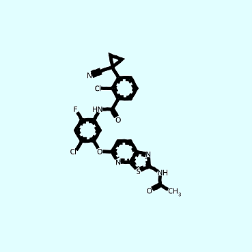 CC(=O)Nc1nc2ccc(Oc3cc(NC(=O)c4cccc(C5(C#N)CC5)c4Cl)c(F)cc3Cl)nc2s1